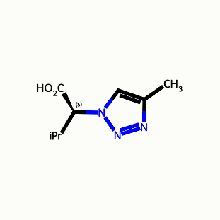 Cc1cn([C@H](C(=O)O)C(C)C)nn1